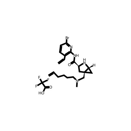 C=CCCCCN(C)C[C@@]12C[C@@H](C(=O)Nc3nc(Br)ccc3C=C)N[C@@H]1C2.O=C(O)C(F)(F)F